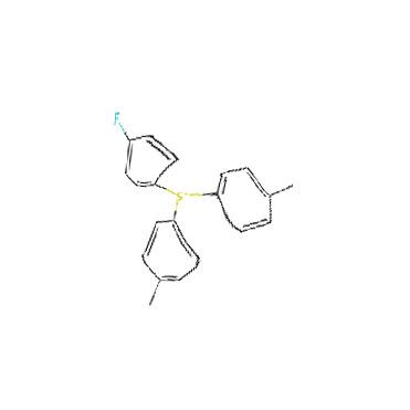 Cc1ccc([S+](c2ccc(C)cc2)c2ccc(F)cc2)cc1